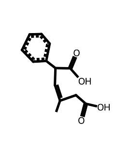 CC(=CC(C(=O)O)c1ccccc1)CC(=O)O